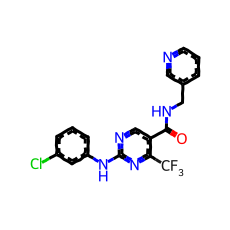 O=C(NCc1cccnc1)c1cnc(Nc2cccc(Cl)c2)nc1C(F)(F)F